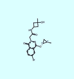 C[C@@H]1C[C@H]1Oc1nn(CC(=O)NC2CC(C)(O)C2)c(=O)c2ccc(Br)cc12